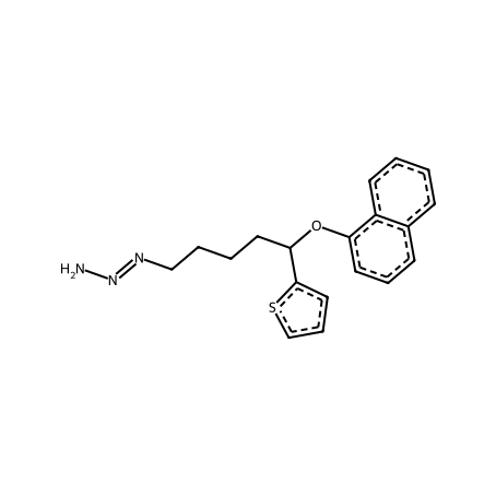 NN=NCCCCC(Oc1cccc2ccccc12)c1cccs1